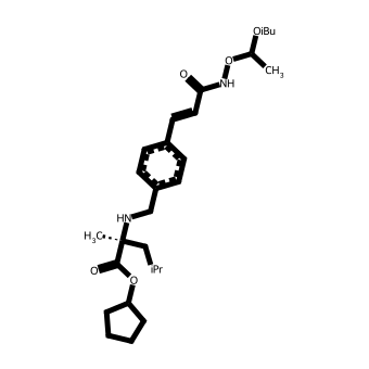 CC(C)COC(C)ONC(=O)C=Cc1ccc(CN[C@@](C)(CC(C)C)C(=O)OC2CCCC2)cc1